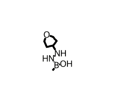 CB(O)NNC1CCOCC1